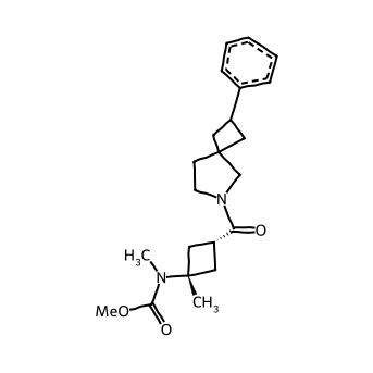 COC(=O)N(C)[C@]1(C)C[C@H](C(=O)N2CCC3(CC(c4ccccc4)C3)C2)C1